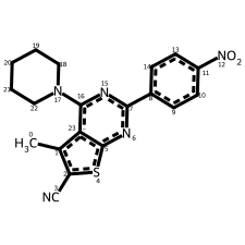 Cc1c(C#N)sc2nc(-c3ccc([N+](=O)[O-])cc3)nc(N3CCCCC3)c12